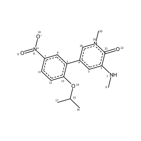 CNc1cc(-c2cc([N+](=O)[O-])ccc2OC(C)C)cn(C)c1=O